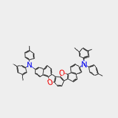 Cc1ccc(N(c2cc(C)cc(C)c2)c2ccc3c(ccc4c5ccc6oc7c8ccc(N(c9ccc(C)cc9)c9cc(C)cc(C)c9)cc8ccc7c6c5oc34)c2)cc1